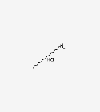 CCCCCCCCCCCCCCN(C)CC.Cl